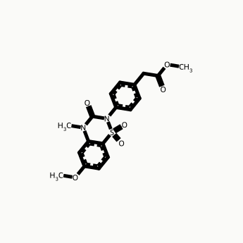 COC(=O)Cc1ccc(N2C(=O)N(C)c3cc(OC)ccc3S2(=O)=O)cc1